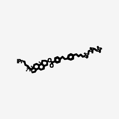 CC(C)CCC[C@@H](C)[C@H]1CCC2C3CC=C4CC(OC(=O)c5ccc(CCc6ccc(CCCC[Si](C)(C)CC[Si](C)(C)CC[Si](C)(C)C)cc6)cc5)CC[C@]4(C)C3CC[C@@]21C